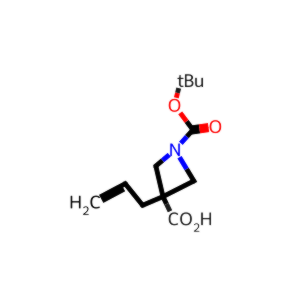 C=CCC1(C(=O)O)CN(C(=O)OC(C)(C)C)C1